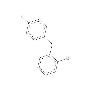 Cc1ccc(Cc2ccccc2[O])cc1